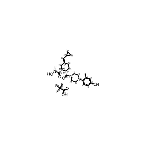 Cc1cc(C#N)ccc1N1CCN(C(=O)[C@H]2CCC(=CC3CC3)C[C@@H]2C(=O)NO)CC1.O=C(O)C(F)(F)F